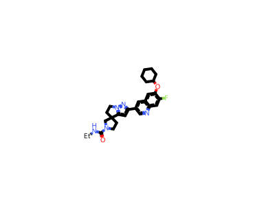 CCNC(=O)N1CCC2(CCn3nc(-c4cnc5cc(F)c(OC6CCCCC6)cc5c4)cc32)C1